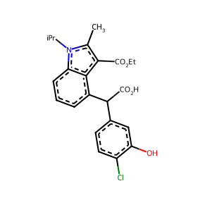 CCOC(=O)c1c(C)n(C(C)C)c2cccc(C(C(=O)O)c3ccc(Cl)c(O)c3)c12